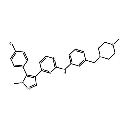 CN1CCN(Cc2cccc(Nc3nccc(-c4cnn(C)c4-c4ccc(Cl)cc4)n3)c2)CC1